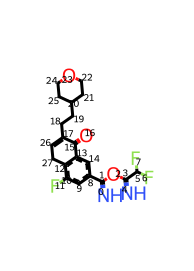 N=C(OC(=N)C(F)F)c1cc(F)c2c(c1)C(=O)C(CCC1CCOCC1)=CC2